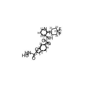 O=C(NO)c1cc2ccc(S(=O)(=O)Nc3cccnc3N3CCC(F)(F)CC3)cc2o1